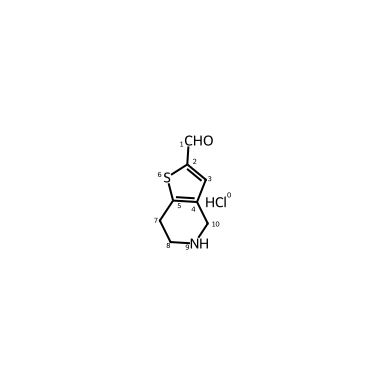 Cl.O=Cc1cc2c(s1)CCNC2